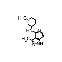 Cc1n[nH]c2ccnc(NC3CCCN(C)C3)c12